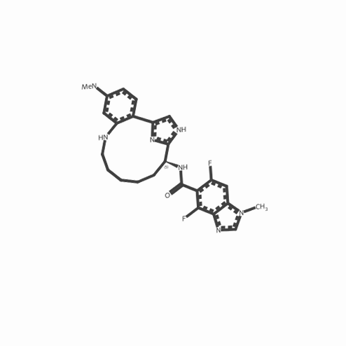 CNc1ccc2c(c1)NCCCCC[C@H](NC(=O)c1c(F)cc3c(ncn3C)c1F)c1nc-2c[nH]1